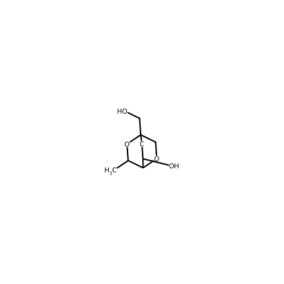 CC1OC2(CO)COC1C(O)C2